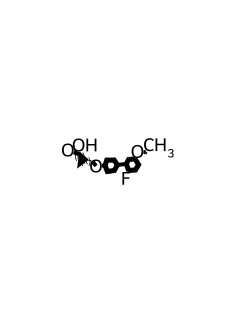 CCOc1ccc(F)c(-c2ccc(OC[C@@H]3C[C@H]3C(=O)O)cc2)c1